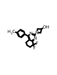 Cc1ccc(-c2nc(N3CC(O)C3)nc3c2CCCC3(F)F)cc1